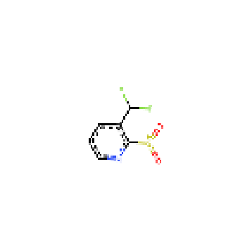 O=[SH](=O)c1ncccc1C(F)F